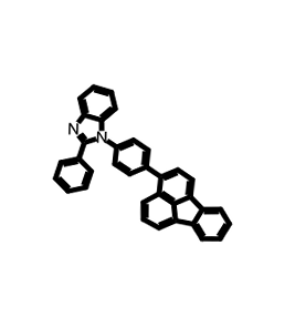 c1ccc(-c2nc3ccccc3n2-c2ccc(-c3ccc4c5c(cccc35)-c3ccccc3-4)cc2)cc1